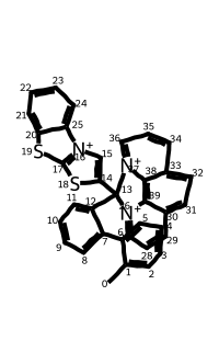 Cc1ccccc1-c1ccccc1C1(c2c[n+]3c(s2)sc2ccccc23)[n+]2cccc3ccc4ccc[n+]1c4c32